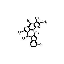 CC1=Cc2c(Br)cccc2C1C(C)C1=C(C)Cc2c1cc1sc(C)c(C)c1c2Br